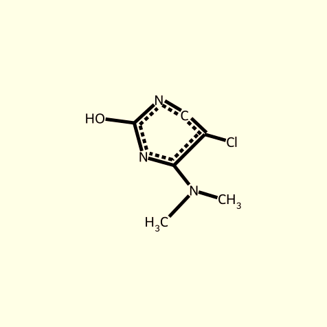 CN(C)c1nc(O)ncc1Cl